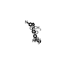 CC(C(=O)N1CCN(c2ccc(S(=O)(=O)Nc3nccs3)cc2)C(=O)C1)n1ccc2cc(C#N)ccc21